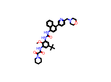 COc1c(NC(=O)Nc2ccc(-c3ccc(CN4CCOCC4)nc3)c3ccccc23)cc(C(C)(C)C)cc1NC(=O)C(=O)N1CCCCC1